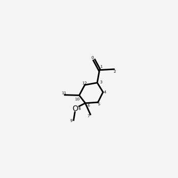 C=C(C)C1CCC(C)(OC)C(C)C1